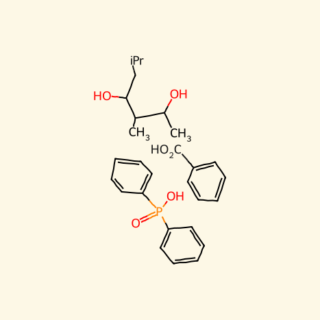 CC(C)CC(O)C(C)C(C)O.O=C(O)c1ccccc1.O=P(O)(c1ccccc1)c1ccccc1